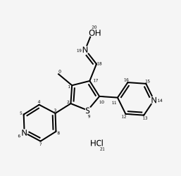 Cc1c(-c2ccncc2)sc(-c2ccncc2)c1C=NO.Cl